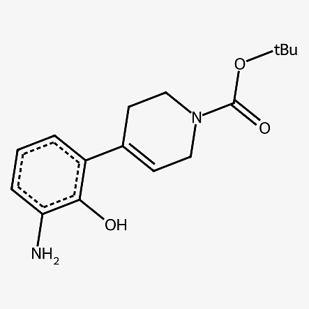 CC(C)(C)OC(=O)N1CC=C(c2cccc(N)c2O)CC1